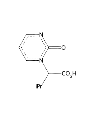 CC(C)C(C(=O)O)n1cccnc1=O